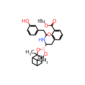 CC(C)(C)OC(=O)c1cccc(CC(NC(=O)Cc2cccc(O)c2)B2OC3CC4CC(C4(C)C)C3(C)O2)c1